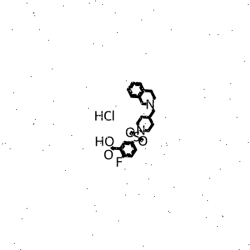 Cl.O=C(O)c1cc(S(=O)(=O)N2CCC(CN3CCc4ccccc4C3)CC2)ccc1F